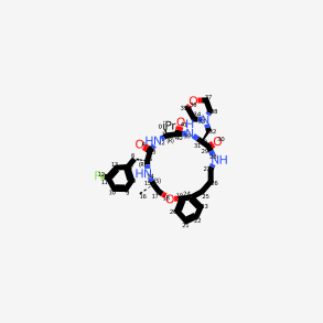 CC(C)[C@H]1NC(=O)[C@@H](Cc2cccc(F)c2)N[C@@H](C)COc2ccccc2CCCNC(=O)[C@H](CN2CCOCC2)NC1=O